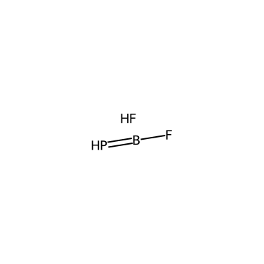 F.FB=P